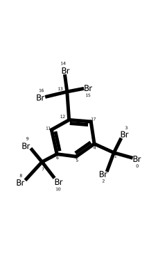 BrC(Br)(Br)c1cc(C(Br)(Br)Br)cc(C(Br)(Br)Br)c1